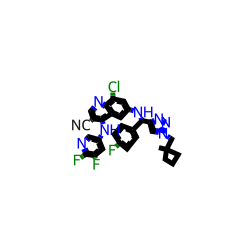 CC1(Cn2cc(C(Nc3cc(Cl)c4ncc(C#N)c(Nc5cnc(F)c(F)c5)c4c3)c3ccc(F)cc3)nn2)CCC1